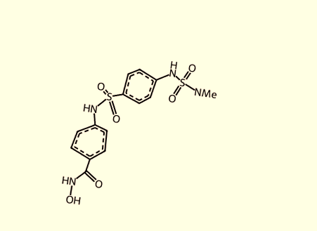 CNS(=O)(=O)Nc1ccc(S(=O)(=O)Nc2ccc(C(=O)NO)cc2)cc1